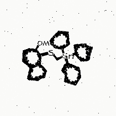 COc1ccc2ccccc2c1S[CH2][Sn]([c]1ccccc1)([c]1ccccc1)[c]1ccccc1